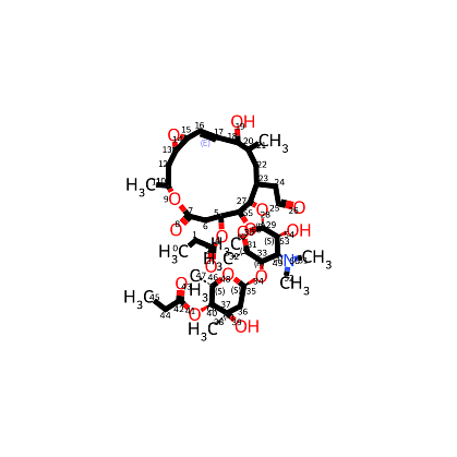 CCC(=O)OC1CC(=O)OC(C)CC2OC2/C=C/C(O)C(C)CC(CC=O)C(O[C@H]2O[C@@H](C)[C@H](O[C@H]3C[C@@](C)(O)[C@@H](OC(=O)CC)[C@H](C)O3)[C@@H](N(C)C)[C@@H]2O)C1OC